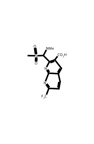 CNC(c1nc2nc(C(F)(F)F)ccc2cc1C(=O)O)S(C)(=O)=O